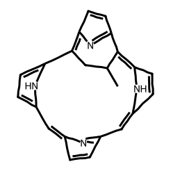 CC1CC2=C3C=CC(=N3)C1=c1ccc([nH]1)=CC1=NC(=Cc3ccc2[nH]3)C=C1